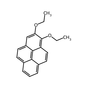 CCOc1cc2ccc3cccc4ccc(c1OCC)c2c34